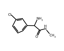 CNC(=O)C(N)c1cccc(Cl)c1